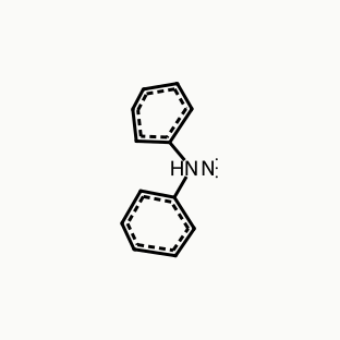 [N].c1ccc(Nc2ccccc2)cc1